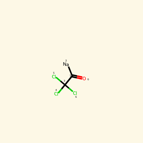 O=[C]([Na])C(Cl)(Cl)Cl